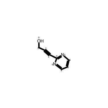 OCC#Cc1ncccn1